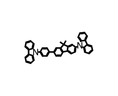 CC1(C)c2cc(-c3ccc(-n4c5ccccc5c5ccccc54)cc3)ccc2-c2ccc(-n3c4ccccc4c4ccccc43)cc21